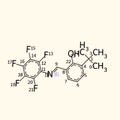 CC(C)(C)c1cccc(/C=N/c2c(F)c(F)c(F)c(F)c2F)c1O